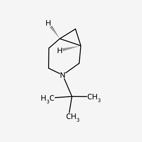 CC(C)(C)N1CC[C@H]2C[C@H]2C1